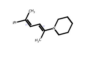 C/C(=C\C=C(/C)N1CCCCC1)C(C)C